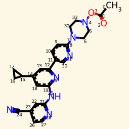 CC(=O)ON1CCN(c2ccc(-c3cc(C4CC4)cc(Nc4cc(C#N)ccn4)n3)cn2)CC1